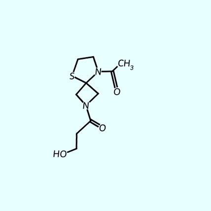 CC(=O)N1CCSC12CN(C(=O)CCO)C2